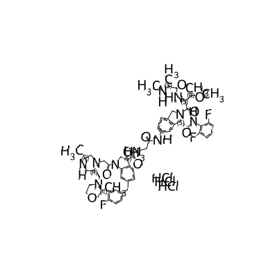 CN[C@@H](C)C(=O)N[C@H](C(=O)N1Cc2ccc(NC(=O)CNC(=O)[C@]3(C)CN(C(=O)CN4C[C@@H](C)NC[C@@H]4CN4CCOC[C@H]4C)c4cc(Cc5ccc(F)cc5)ccc43)cc2[C@H]1C(=O)Nc1c(F)cccc1F)[C@@H](C)OC.Cl.Cl.Cl